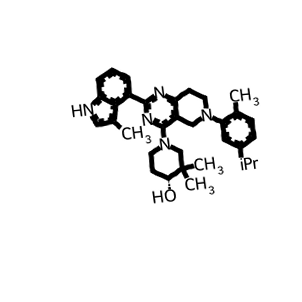 Cc1ccc(C(C)C)cc1N1CCc2nc(-c3cccc4[nH]cc(C)c34)nc(N3CC[C@@H](O)C(C)(C)C3)c2C1